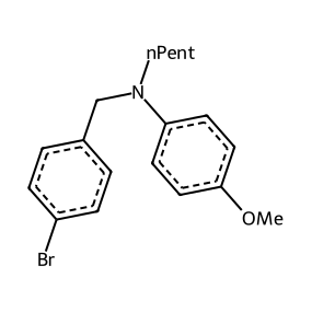 CCCCCN(Cc1ccc(Br)cc1)c1ccc(OC)cc1